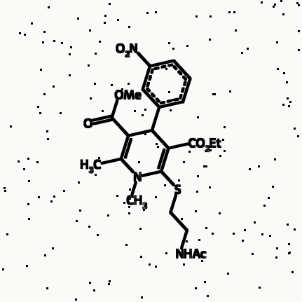 CCOC(=O)C1=C(SCCNC(C)=O)N(C)C(C)=C(C(=O)OC)C1c1cccc([N+](=O)[O-])c1